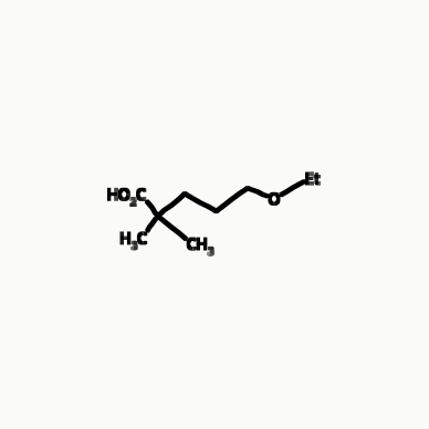 CCOCCCC(C)(C)C(=O)O